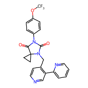 O=C1N(c2ccc(OC(F)(F)F)cc2)C(=O)C2(CC2)N1Cc1ccncc1-c1ccccn1